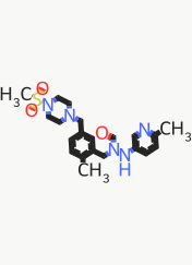 Cc1ccc(NN(C=O)Cc2cc(CN3CCN(S(C)(=O)=O)CC3)ccc2C)cn1